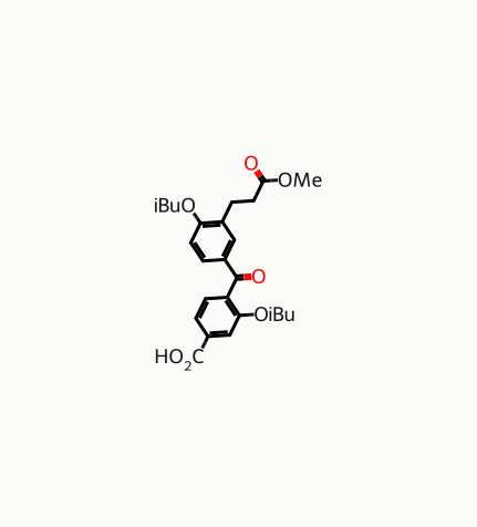 COC(=O)CCc1cc(C(=O)c2ccc(C(=O)O)cc2OCC(C)C)ccc1OCC(C)C